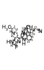 C[C@H]1CCCN(Cc2cc(C(=O)Nc3cccc(C4(c5nncn5C)CC(CC#N)C4)c3)nc3c(F)c[nH]c23)C1